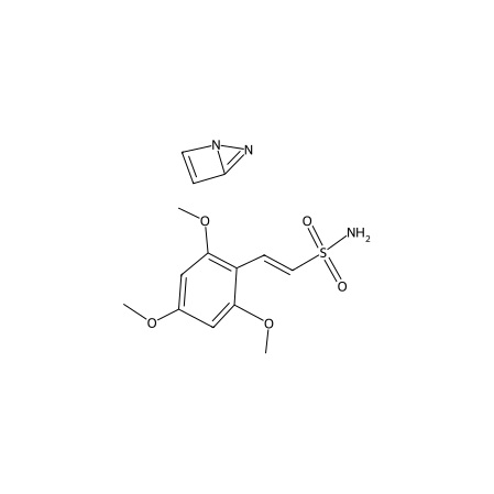 COc1cc(OC)c(C=CS(N)(=O)=O)c(OC)c1.c1cn2nc1-2